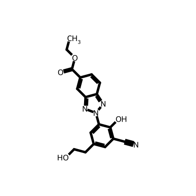 CCOC(=O)c1ccc2nn(-c3cc(CCO)cc(C#N)c3O)nc2c1